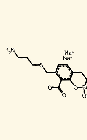 NCCCSCc1ccc2c(c1C(=O)[O-])O[B-](O)(O)CC2.[Na+].[Na+]